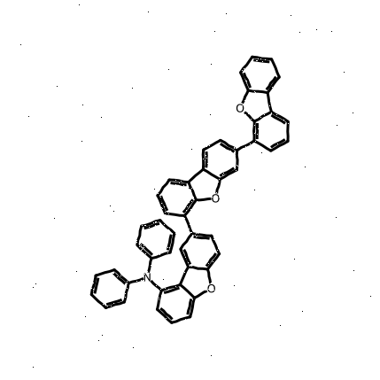 c1ccc(N(c2ccccc2)c2cccc3oc4ccc(-c5cccc6c5oc5cc(-c7cccc8c7oc7ccccc78)ccc56)cc4c23)cc1